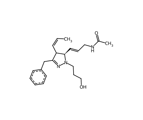 C/C=C\C1C(Cc2ccccc2)=NN(CCCO)[C@@H]1/C=C/CNC(C)=O